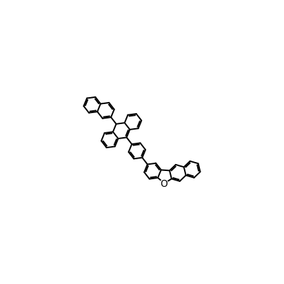 C1=CC2=C(c3ccc(-c4ccc5oc6cc7ccccc7cc6c5c4)cc3)c3ccccc3C(c3ccc4ccccc4c3)C2C=C1